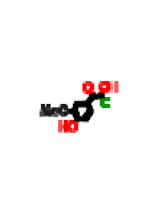 COc1cc(C(=O)C(O)Cl)ccc1O